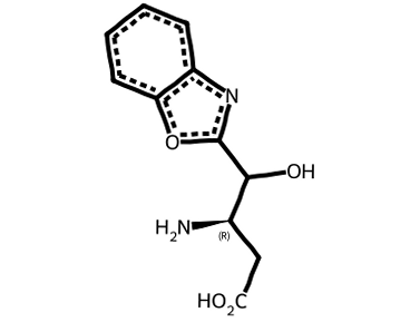 N[C@H](CC(=O)O)C(O)c1nc2ccccc2o1